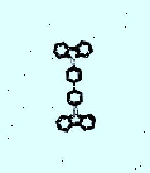 c1ccc2c3ccccc3n(-c3ccc(-c4ccc(-n5c6ccccc6c6ccccc65)cc4)cc3)c2c#1